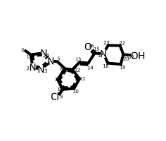 Cc1nnn(Cc2cc(Cl)ccc2/C=C/C(=O)N2CCC(O)CC2)n1